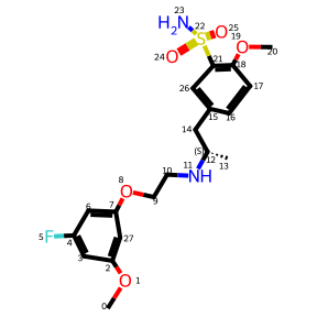 COc1cc(F)cc(OCCN[C@@H](C)Cc2ccc(OC)c(S(N)(=O)=O)c2)c1